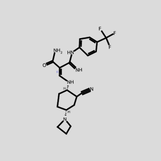 N#CC1C[C@H](N2CCC2)CC[C@@H]1N/C=C(\C(=N)Nc1ccc(C(F)(F)F)cc1)C(N)=O